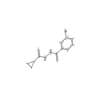 O=C(NNC(=O)C1CC1)c1cccc(Br)c1